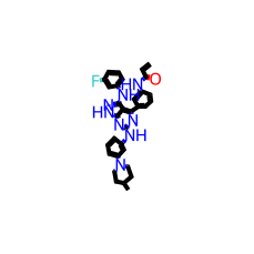 C=CC(=O)Nc1cccc(-c2nc(Nc3cccc(N4CCC(C)CC4)c3)nc3[nH]nc(Nc4cccc(F)c4)c23)c1